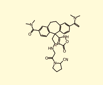 C=C(c1ccc2c(c1)CCc1cc(C(=O)N(C)C)ccc1C2(C[C@@H](C)NCC(=O)N1CCCC1C#N)c1nc(=O)o[nH]1)N(C)C